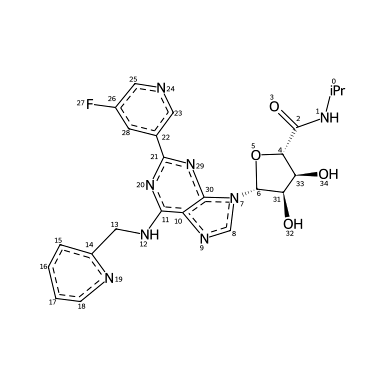 CC(C)NC(=O)[C@H]1O[C@@H](n2cnc3c(NCc4ccccn4)nc(-c4cncc(F)c4)nc32)[C@H](O)[C@@H]1O